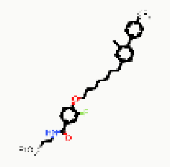 CCOC(=O)CCNC(=O)c1ccc(OCCCCCCCc2ccc(-c3ccc(C(F)(F)F)cc3)c(C)c2)c(F)c1